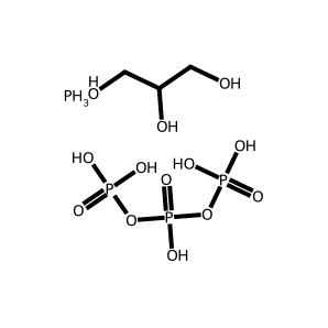 O=P(O)(O)OP(=O)(O)OP(=O)(O)O.OCC(O)CO.P